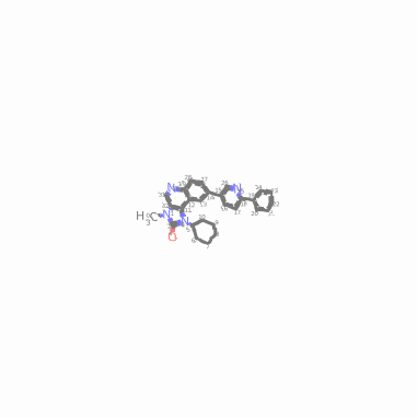 Cn1c(=O)n(C2CCCCC2)c2c3cc(-c4ccc(-c5ccccc5)nc4)ccc3ncc21